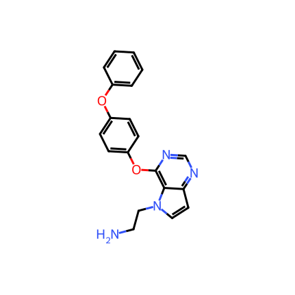 NCCn1ccc2ncnc(Oc3ccc(Oc4ccccc4)cc3)c21